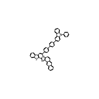 c1ccc(-n2c3ccccc3c3cc(-c4ccc(-c5ccc(-c6cc7c8ccccc8sc7c7nc8c9cc%10ccccc%10cc9ccc8n67)cc5)cc4)ccc32)cc1